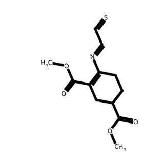 COC(=O)C1=C(N=CC=S)CCC(C(=O)OC)C1